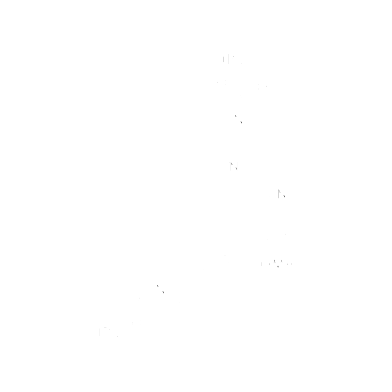 COC(=O)c1c(OC2CCN(C(=O)OC(C)(C)C)CC2)ccc(N2CCN(C(=O)OC(C)(C)C)CC2)c1C#N